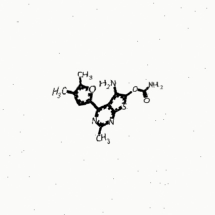 Cc1nc(-c2cc(C)c(C)o2)c2c(N)c(OC(N)=O)sc2n1